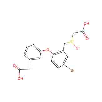 O=C(O)Cc1cccc(Oc2ccc(Br)cc2C[S+]([O-])CC(=O)O)c1